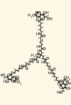 CNC(CCC(=O)NCCOCC(=O)NCCCCCO[C@@H]1O[C@H](CO)[C@H](O)[C@H](O)[C@H]1NC(C)=O)(CCC(=O)NCCOCC(=O)NCCCCCO[C@@H]1O[C@H](CO)[C@H](O)[C@H](O)[C@H]1NC(C)=O)CCC(=O)NCCOCC(=O)NCCCCCO[C@@H]1O[C@H](CO)[C@H](O)[C@H](O)[C@H]1NC(C)=O